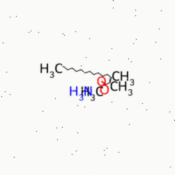 CCCCCCCCCCCCC(C)=C(C)C(=O)OC.N